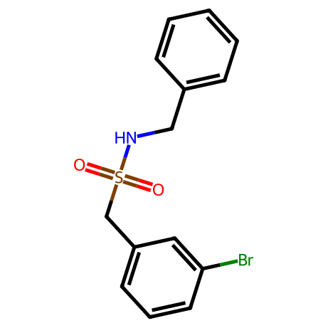 O=S(=O)(Cc1cccc(Br)c1)NCc1ccccc1